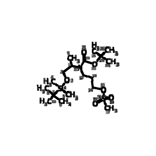 CC(CO[Si](C)(C)C(C)(C)C)N(CCCOS(C)(=O)=O)C(=O)OC(C)(C)C